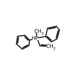 C=C[PH](C)(c1ccccc1)c1ccccc1